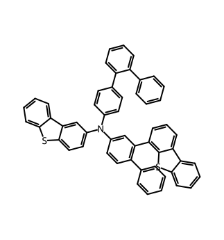 c1ccc(-c2ccccc2-c2ccc(N(c3ccc(-c4ccccc4)c(-c4cccc5c4sc4ccccc45)c3)c3ccc4sc5ccccc5c4c3)cc2)cc1